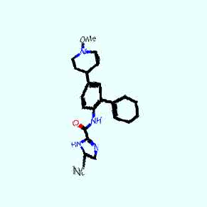 CON1CCC(c2ccc(NC(=O)C3=NCC(C#N)N3)c(C3=CCCCC3)c2)CC1